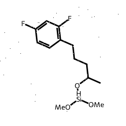 CO[SiH](OC)OC(C)CCCc1ccc(F)cc1F